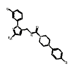 O=C(NCc1cc(C(F)(F)F)nn1-c1cccc(Cl)c1)N1CCN(c2ccc(Cl)cc2)CC1